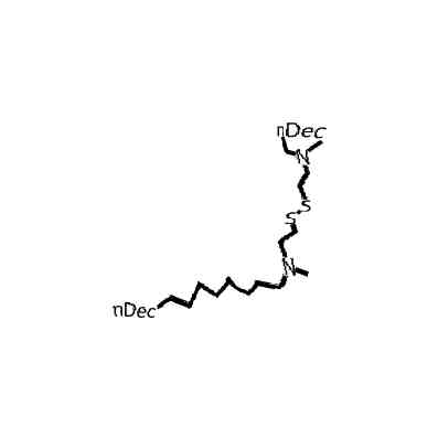 CCCCCCCCCCCCCCCCCCN(C)CCSSCCN(C)CCCCCCCCCCC